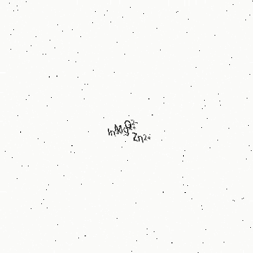 [In+3].[Mg+2].[O-2].[Zn+2]